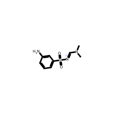 CN(C)/C=N/S(=O)(=O)c1cccc(N)c1